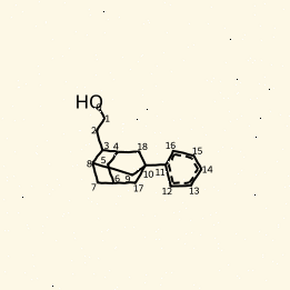 OCCC1C2CC3CC1CC(c1ccccc1)(C3)C2